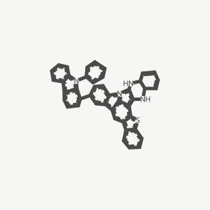 C1=CC2Nc3c(n4c5ccc(-c6cccc7c8ccccc8n(-c8ccccc8)c67)cc5c5cc6c7ccccc7sc6c3c54)NC2C=C1